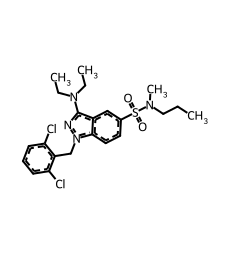 CCCN(C)S(=O)(=O)c1ccc2c(c1)c(N(CC)CC)nn2Cc1c(Cl)cccc1Cl